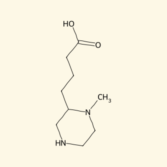 CN1CCNCC1CCCC(=O)O